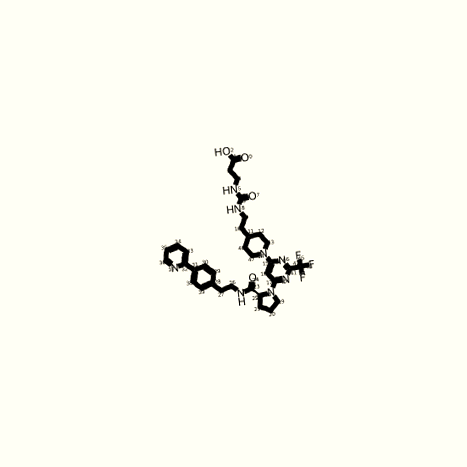 O=C(O)CCNC(=O)NCCC1CCN(c2cc(N3CCC[C@H]3C(=O)NCCc3ccc(-c4ccccn4)cc3)nc(C(F)(F)F)n2)CC1